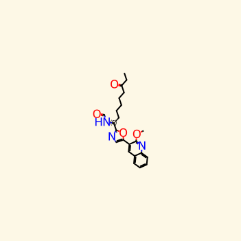 CCC(=O)CCCCC[C@H](NC=O)c1ncc(-c2cc3ccccc3nc2OC)o1